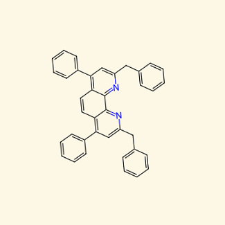 c1ccc(Cc2cc(-c3ccccc3)c3ccc4c(-c5ccccc5)cc(Cc5ccccc5)nc4c3n2)cc1